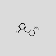 N[C@@H]1CCCN(Cc2ccccc2Cl)C1